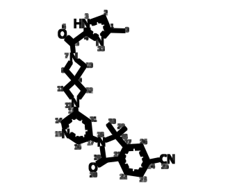 Cc1c[nH]c(C(=O)N2CC3(C2)CN(c2cncc(N4C(=O)c5ccc(C#N)cc5C4(C)C)c2)C3)n1